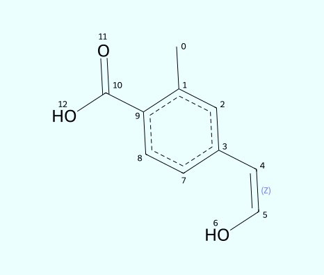 Cc1cc(/C=C\O)ccc1C(=O)O